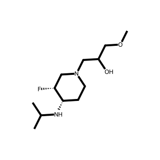 COCC(O)CN1CC[C@H](NC(C)C)[C@H](F)C1